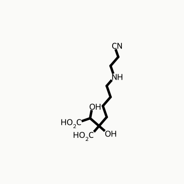 N#CCCNCCCCC(O)(C(=O)O)C(O)C(=O)O